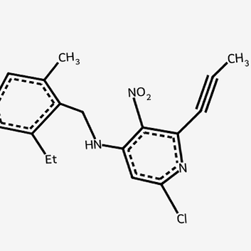 CC#Cc1nc(Cl)cc(NCc2c(C)cccc2CC)c1[N+](=O)[O-]